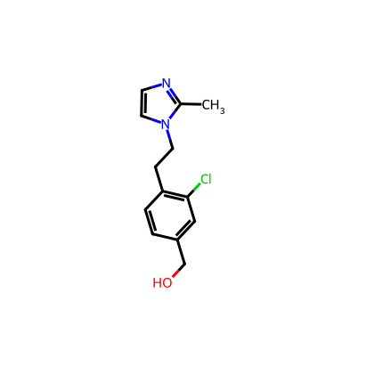 Cc1nccn1CCc1ccc(CO)cc1Cl